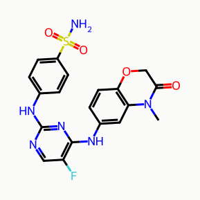 CN1C(=O)COc2ccc(Nc3nc(Nc4ccc(S(N)(=O)=O)cc4)ncc3F)cc21